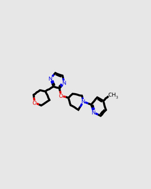 Cc1ccnc(N2CCC(Oc3nccnc3C3CCOCC3)CC2)c1